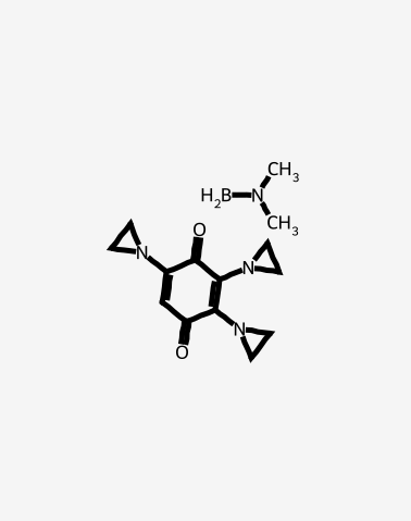 BN(C)C.O=C1C=C(N2CC2)C(=O)C(N2CC2)=C1N1CC1